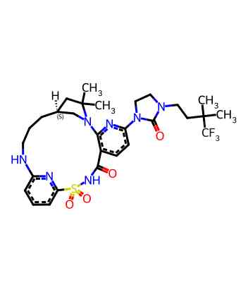 CC1(C)C[C@@H]2CCCNc3cccc(n3)S(=O)(=O)NC(=O)c3ccc(N4CCN(CCC(C)(C)C(F)(F)F)C4=O)nc3N1C2